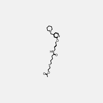 CC(=O)OCCSCCCCC(=O)NCC=CCOc1cc(CN2CCCCC2)ccn1